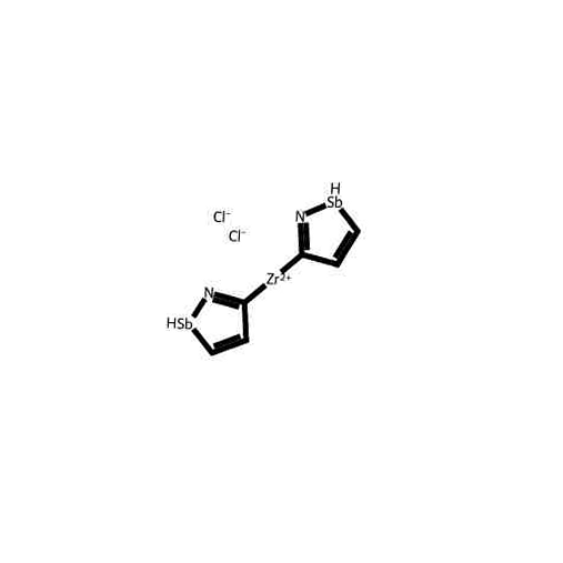 [CH]1=C[C]([Zr+2][C]2=[N][SbH][CH]=C2)=[N][SbH]1.[Cl-].[Cl-]